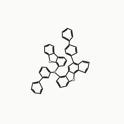 c1ccc(-c2ccc(-c3cc4c(oc5cccc(N(c6cccc(-c7ccccc7)c6)c6cccc7c6oc6ccccc67)c54)c4ccccc34)cc2)cc1